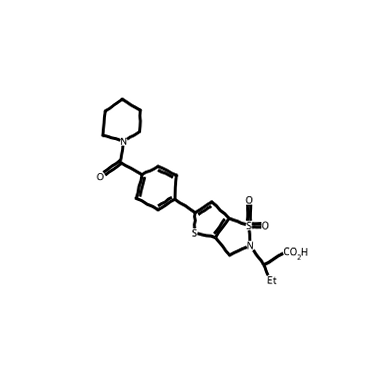 CCC(C(=O)O)N1Cc2sc(-c3ccc(C(=O)N4CCCCC4)cc3)cc2S1(=O)=O